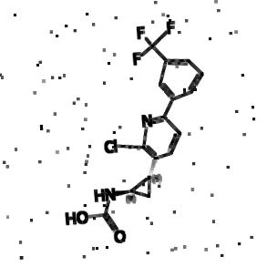 O=C(O)N[C@@H]1C[C@H]1c1ccc(-c2cccc(C(F)(F)F)c2)nc1Cl